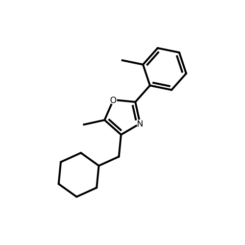 Cc1ccccc1-c1nc(CC2CCCCC2)c(C)o1